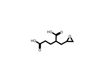 O=C(O)CCC(CC1CO1)C(=O)O